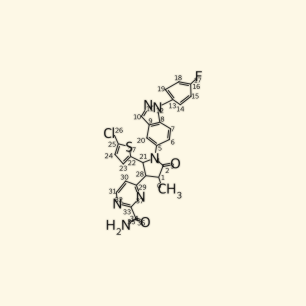 CC1C(=O)N(c2ccc3c(cnn3-c3ccc(F)cc3)c2)C(c2ccc(Cl)s2)C1c1ccnc(C(N)=O)n1